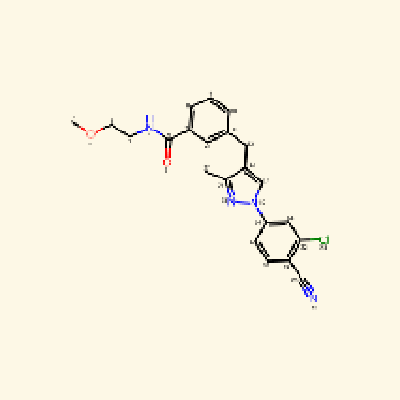 COCCNC(=O)c1cccc(Cc2cn(-c3ccc(C#N)c(Cl)c3)nc2C)c1